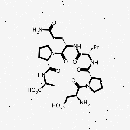 CC(C)[C@H](NC(=O)[C@@H]1CCCN1C(=O)[C@@H](N)CC(=O)O)C(=O)N[C@@H](CCC(N)=O)C(=O)N1CCC[C@H]1C(=O)N[C@@H](C)C(=O)O